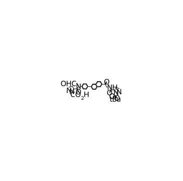 CN1CCC(C(=O)N(CC=O)c2ccc(-c3ccc4cc(C(=O)CNC(=O)C5CCN(C)N5C(=O)OC(C)(C)C)ccc4c3)cc2)N1C(=O)O